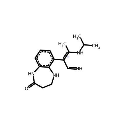 C/C(NC(C)C)=C(/C=N)c1cccc2c1NCCC(=O)N2